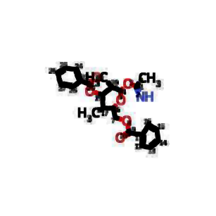 CC(=N)OC1OC(COC(=O)c2ccccc2)C(C)C(OC(=O)c2ccccc2)C1C